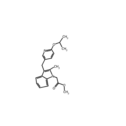 COC(=O)Cn1c(C)c(Cc2ccc(OC(C)C)nc2)c2ccccc21